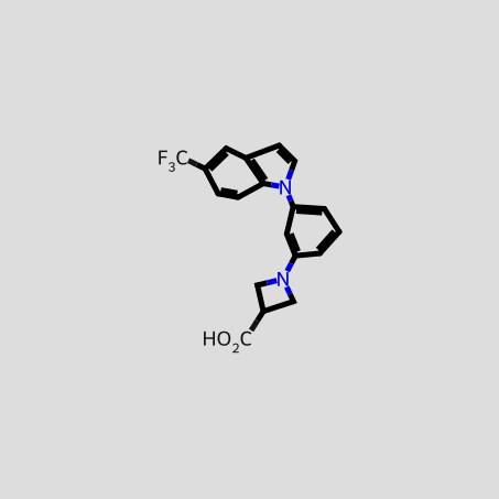 O=C(O)C1CN(c2cccc(-n3ccc4cc(C(F)(F)F)ccc43)c2)C1